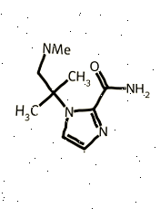 CNCC(C)(C)n1c[c]nc1C(N)=O